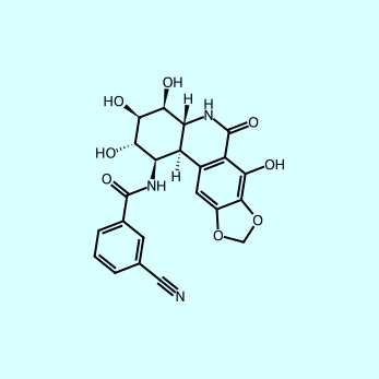 N#Cc1cccc(C(=O)N[C@H]2[C@H](O)[C@@H](O)[C@@H](O)[C@@H]3NC(=O)c4c(cc5c(c4O)OCO5)[C@@H]23)c1